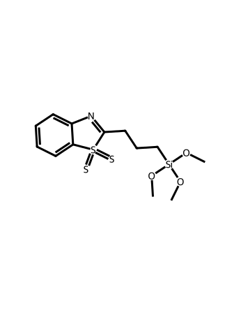 CO[Si](CCCC1=Nc2ccccc2S1(=S)=S)(OC)OC